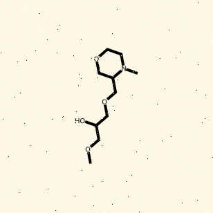 COCC(O)COCC1COCCN1C